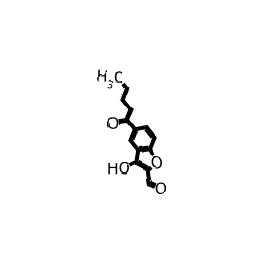 CCCCC(=O)c1ccc2oc(C=O)c(O)c2c1